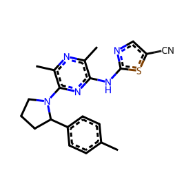 Cc1ccc(C2CCCN2c2nc(Nc3ncc(C#N)s3)c(C)nc2C)cc1